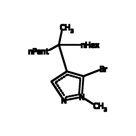 CCCCCCC(C)(CCCCC)c1cnn(C)c1Br